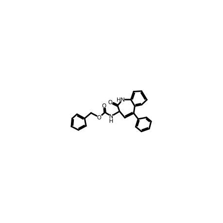 O=C(NC1C=C(c2ccccc2)c2ccccc2NC1=O)OCc1ccccc1